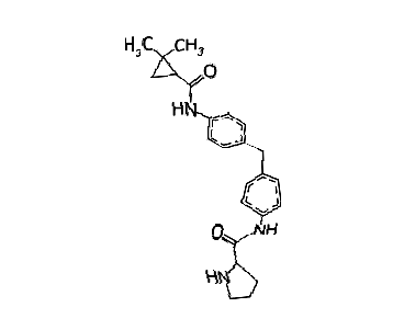 CC1(C)CC1C(=O)Nc1ccc(Cc2ccc(NC(=O)C3CCCN3)cc2)cc1